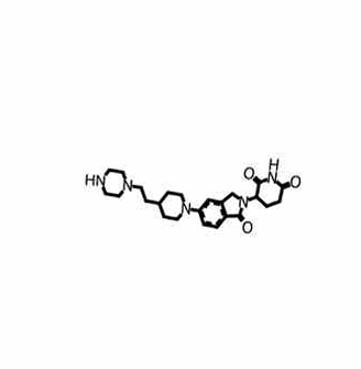 O=C1CCC(N2Cc3cc(N4CCC(CCN5CCNCC5)CC4)ccc3C2=O)C(=O)N1